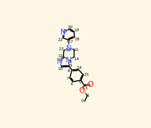 CCOC(=O)c1ccc(-c2cnc3n2CCN(c2cccnc2)C3)cc1